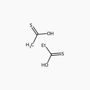 CC(O)=S.CCC(O)=S